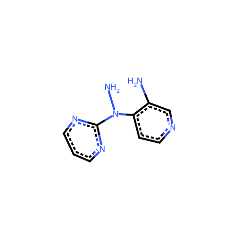 Nc1cnccc1N(N)c1ncccn1